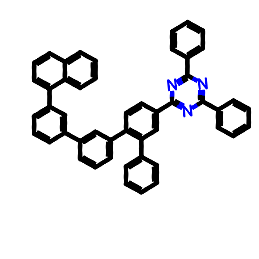 c1ccc(-c2nc(-c3ccccc3)nc(-c3ccc(-c4cccc(-c5cccc(-c6cccc7ccccc67)c5)c4)c(-c4ccccc4)c3)n2)cc1